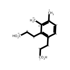 Cc1ccc(CCC(=O)O)c(CCC(=O)O)c1C